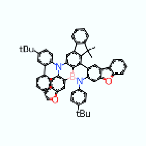 CC(C)(C)c1ccc(N2B3c4cc5occc5cc4N(c4ccc(C(C)(C)C)cc4-c4ccccc4)c4cc5c(c(c43)-c3cc4c(cc32)oc2ccccc24)C(C)(C)c2ccccc2-5)cc1